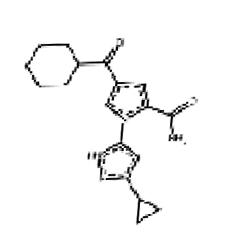 NC(=O)c1cc(C(=O)C2CCCCC2)cn1-c1cc(C2CC2)n[nH]1